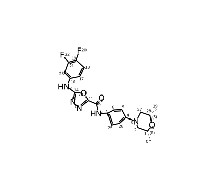 C[C@@H]1CN(c2ccc(NC(=O)c3nnc(Nc4ccc(F)c(F)c4)o3)cc2)C[C@H](C)O1